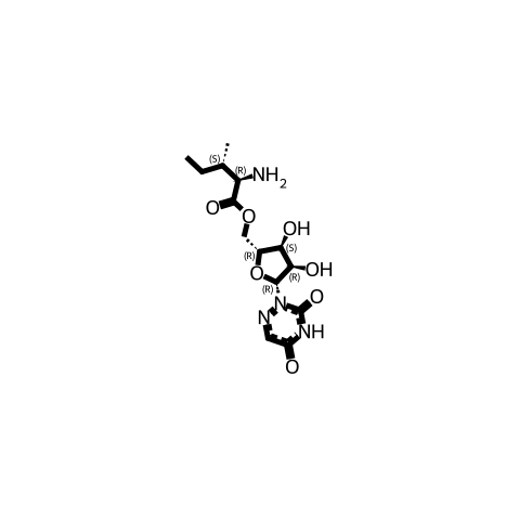 CC[C@H](C)[C@@H](N)C(=O)OC[C@H]1O[C@@H](n2ncc(=O)[nH]c2=O)[C@H](O)[C@@H]1O